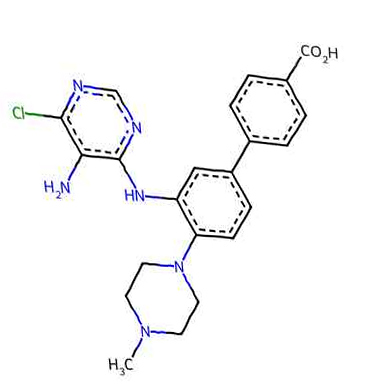 CN1CCN(c2ccc(-c3ccc(C(=O)O)cc3)cc2Nc2ncnc(Cl)c2N)CC1